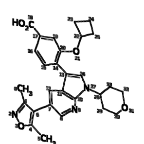 Cc1noc(C)c1-c1cnc2c(c1)c(-c1ccc(C(=O)O)cc1OC1CCC1)cn2C1CCOCC1